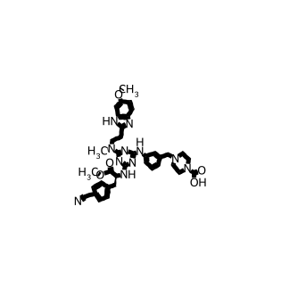 COC(=O)[C@H](Cc1ccc(C#N)cc1)Nc1nc(Nc2cccc(CN3CCN(C(=O)O)CC3)c2)nc(N(C)CCc2nc3ccc(OC)cc3[nH]2)n1